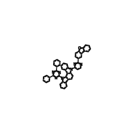 c1ccc(-c2nc(-c3ccccc3)nc(-n3c4ccccc4c4ccc5c(c6ccccc6n5-c5ccnc(-c6ccc7oc8ccccc8c7c6)n5)c43)n2)cc1